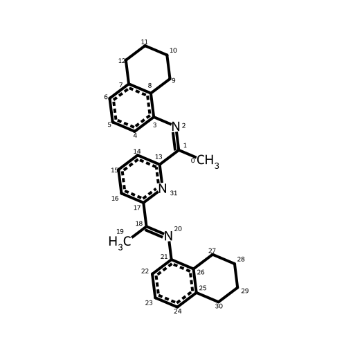 CC(=Nc1cccc2c1CCCC2)c1cccc(C(C)=Nc2cccc3c2CCCC3)n1